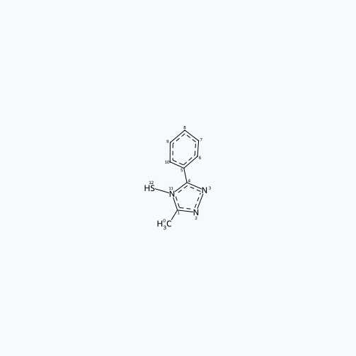 Cc1nnc(-c2ccccc2)n1S